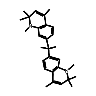 CC1=CC(C)(C)N(C)c2cc(C(C)(C)c3ccc4c(c3)N(C)C(C)(C)C=C4C)ccc21